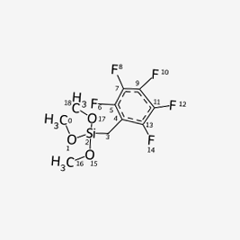 CO[Si](Cc1c(F)c(F)c(F)c(F)c1F)(OC)OC